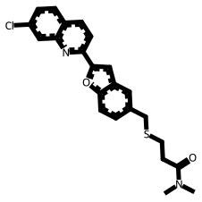 CN(C)C(=O)CCSCc1ccc2oc(-c3ccc4ccc(Cl)cc4n3)cc2c1